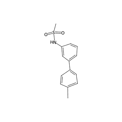 Cc1ccc(-c2cccc(NS(C)(=O)=O)c2)cc1